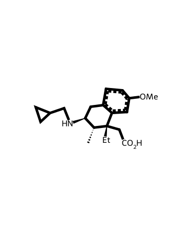 CC[C@]1(CC(=O)O)c2cc(OC)ccc2C[C@H](NCC2CC2)[C@H]1C